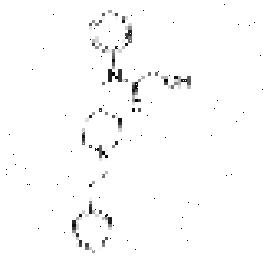 O=C(CO)N(CC1CCN(CCc2ccccc2)CC1)c1ccccc1